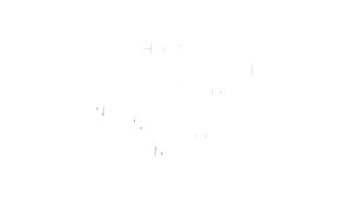 CCN1CCN(C2=Nc3ccccc3Oc3cscc32)CC1.O=C(O)C=CC(=O)O